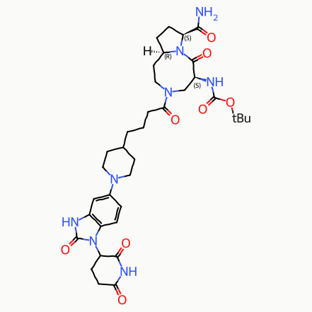 CC(C)(C)OC(=O)N[C@H]1CN(C(=O)CCCC2CCN(c3ccc4c(c3)[nH]c(=O)n4C3CCC(=O)NC3=O)CC2)CC[C@H]2CC[C@@H](C(N)=O)N2C1=O